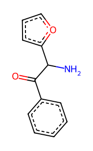 NC(C(=O)c1ccccc1)c1ccco1